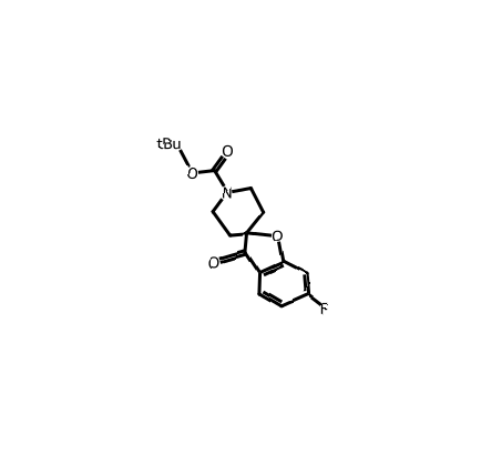 CC(C)(C)OC(=O)N1CCC2(CC1)Oc1cc(F)ccc1C2=O